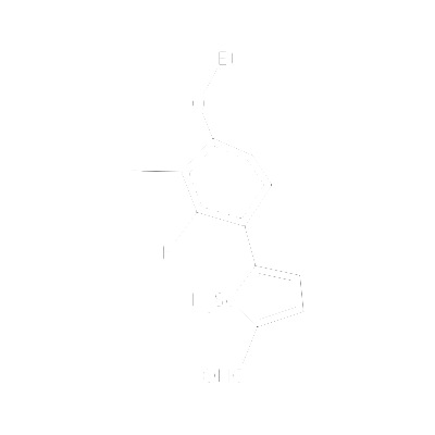 CCOc1ccc(C2=CC=C(C=O)[SeH2]2)c(F)c1F